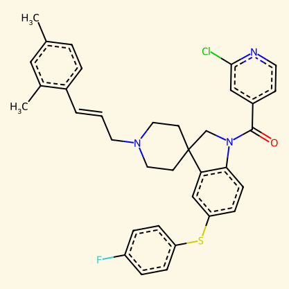 Cc1ccc(C=CCN2CCC3(CC2)CN(C(=O)c2ccnc(Cl)c2)c2ccc(Sc4ccc(F)cc4)cc23)c(C)c1